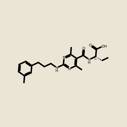 CC[C@H](NC(=O)c1c(C)nc(NCCCc2cccc(C)c2)nc1C)C(=O)O